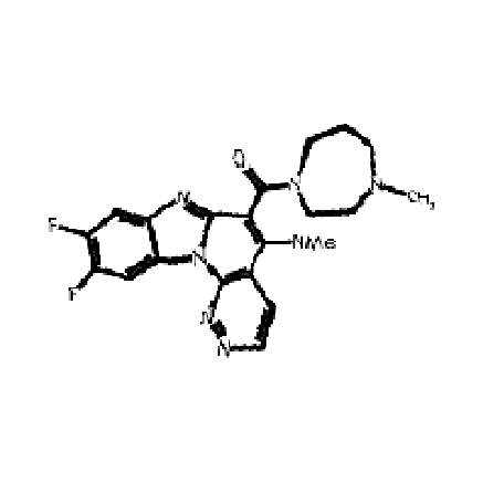 CNc1c(C(=O)N2CCCN(C)CC2)c2nc3cc(F)c(F)cc3n2c2nnccc12